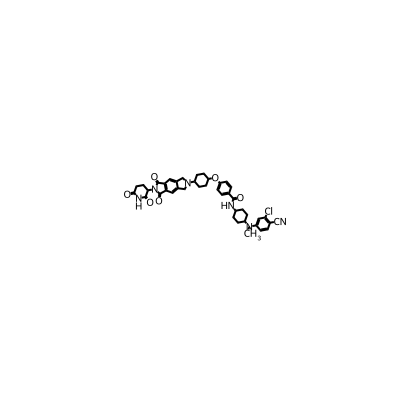 CN(c1ccc(C#N)c(Cl)c1)C1CCC(NC(=O)c2ccc(OC3CCC(N4Cc5cc6c(cc5C4)C(=O)N(C4CCC(=O)NC4=O)C6=O)CC3)cc2)CC1